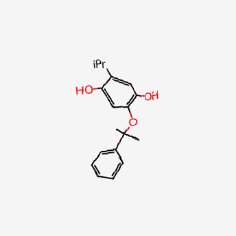 CC(C)c1cc(O)c(OC(C)(C)c2ccccc2)cc1O